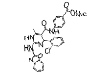 COC(=O)c1ccc(NC(=O)C2=C(C)NC(Nc3nc4ccccc4o3)=NC2c2ccccc2Cl)cc1